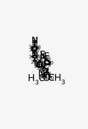 CCCC(CC(C#N)(c1cccc(C(F)(F)F)c1)C1CCN(CC2CN(c3ccc(C#N)cc3)C2)CC1)OC(C)=O